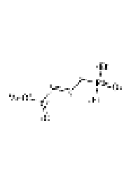 CCP(=O)(CC)CC=CC(=O)OC